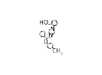 Cc1ccc(OC(CN2CCN(c3ccccc3CO)CC2)c2ccccc2)cc1